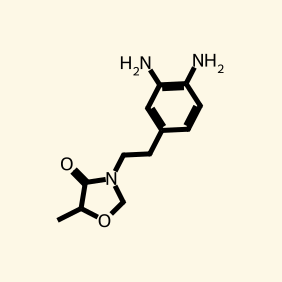 CC1OCN(CCc2ccc(N)c(N)c2)C1=O